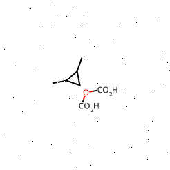 CC1CC1C.O=C(O)OC(=O)O